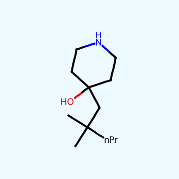 CCCC(C)(C)CC1(O)CCNCC1